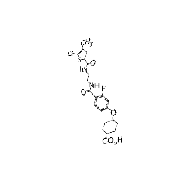 CC1=C(Cl)SC(C(=O)NCCNC(=O)c2ccc(O[C@H]3CC[C@@H](C(=O)O)CC3)cc2F)C1